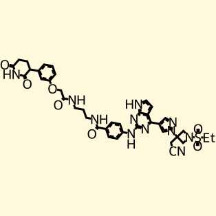 CCS(=O)(=O)N1CC(CC#N)(n2cc(-c3nc(Nc4ccc(C(=O)NCCCNC(=O)COc5cccc(C6CCC(=O)NC6=O)c5)cc4)nc4[nH]ccc34)cn2)C1